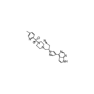 Cc1ccc(S(=O)(=O)N2CCN(CC(CC#N)n3cc(-c4ncnc5[nH]ccc45)cn3)CC2)nc1